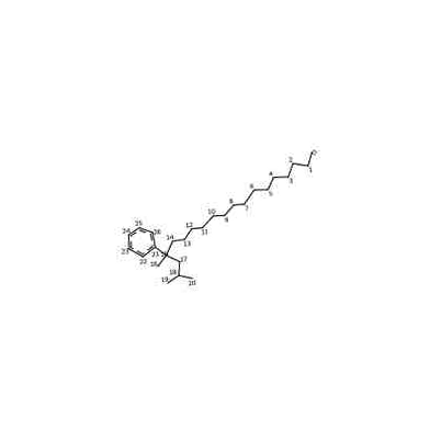 CCCCCCCCCCCCCCCC(C)(CC(C)C)c1ccccc1